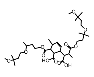 COC(C)(C)CCOC(C)CCOC(=O)C1C(C)C=CC(C(C(=O)O)C(C)C(=O)OCCC(C)(C)OCCC(C)(C)OC)C1C(=O)O